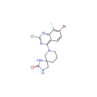 O=C1NCC2(CCCN(c3nc(Cl)nc4c(F)c(Br)ccc34)C2)N1